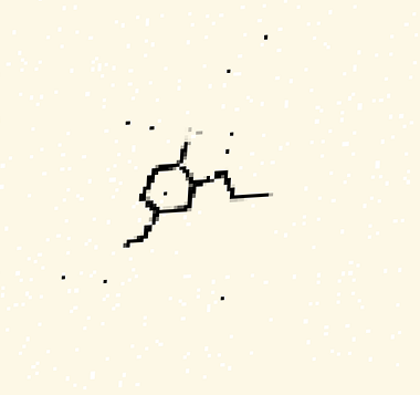 CCCC1CC(CC)CCC1O